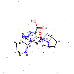 O=C(O)c1ncsc1N1CC2CCC(C1)N2C(=O)Cn1cnc2cccnc21